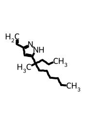 C=Cc1cc(C(C)(CCC)CCCCCC)[nH]n1